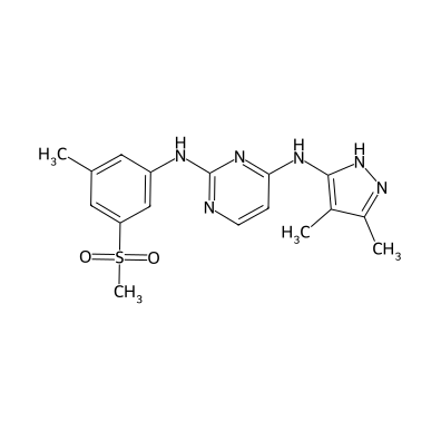 Cc1cc(Nc2nccc(Nc3[nH]nc(C)c3C)n2)cc(S(C)(=O)=O)c1